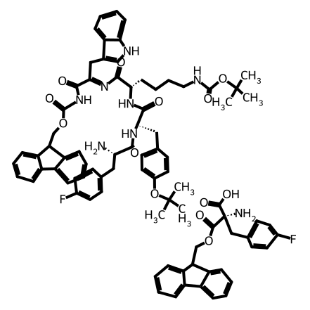 CC(C)(C)OC(=O)NCCCC[C@H](NC(=O)[C@H](Cc1ccc(OC(C)(C)C)cc1)NC(=O)[C@@H](N)Cc1ccc(F)cc1)C(=O)N=C(Cc1c[nH]c2ccccc12)C(=O)NC(=O)OCC1c2ccccc2-c2ccccc21.N[C@@](Cc1ccc(F)cc1)(C(=O)O)C(=O)OCC1c2ccccc2-c2ccccc21